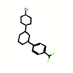 CCC1CCC(C2CCCC(c3ccc(C(F)F)cc3)C2)CC1